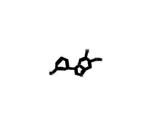 COc1cc2ncc(-c3cccc(Br)n3)n2cc1Cl